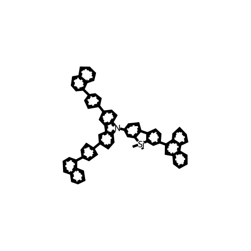 C[Si]1(C)c2cc(-c3cc4ccccc4c4ccccc34)ccc2-c2ccc(-n3c4ccc(-c5ccc(-c6cccc7ccccc67)cc5)cc4c4cc(-c5ccc(-c6cccc7ccccc67)cc5)ccc43)cc21